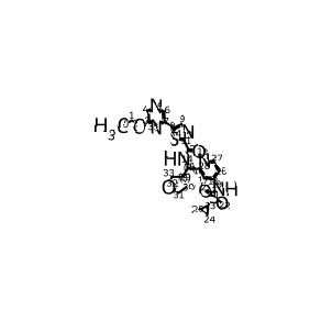 CCOc1cncc(-c2cnc(C(=O)N[C@@H](c3cc(NS(=O)(=O)C4CC4)ccn3)[C@@H]3CCOC3)s2)n1